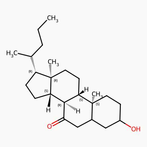 CCCC(C)[C@H]1CC[C@H]2[C@@H]3C(=O)CC4CC(O)CC[C@]4(C)[C@H]3CC[C@]12C